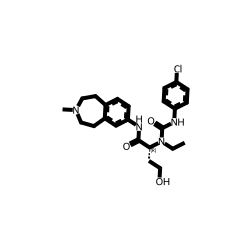 CCN(C(=O)Nc1ccc(Cl)cc1)[C@H](CCO)C(=O)Nc1ccc2c(c1)CCN(C)CC2